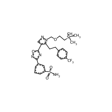 C[Si](C)(C)CCOCn1ncc(-c2nc(-c3cccc(S(N)(=O)=O)c3)no2)c1CCc1ccc(C(F)(F)F)cc1